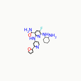 NC(=O)c1cc(F)c(NC2CCCC[C@@H]2N)nc1Nc1ccnc(-c2ccco2)c1